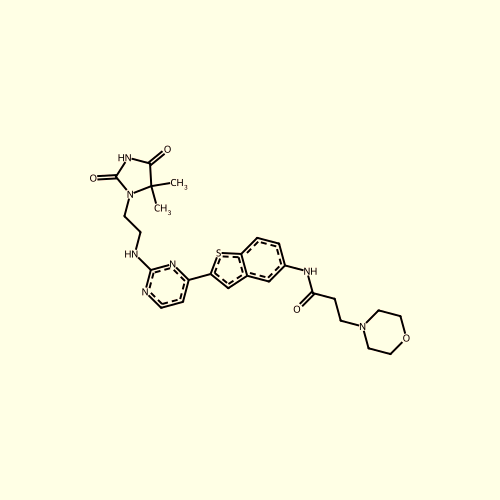 CC1(C)C(=O)NC(=O)N1CCNc1nccc(-c2cc3cc(NC(=O)CCN4CCOCC4)ccc3s2)n1